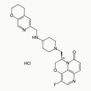 Cl.O=c1ccc2ncc(F)c3c2n1[C@H](CN1CCC(NCc2cc4c(cn2)OCCC4)CC1)CO3